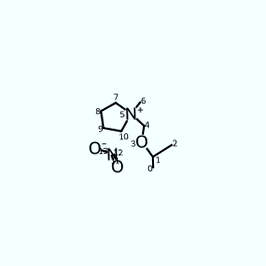 CC(C)OC[N+]1(C)CCCC1.O=N[O-]